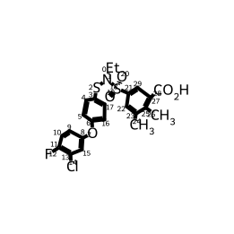 CCN(Sc1ccc(Oc2ccc(F)c(Cl)c2)cc1)S(=O)(=O)c1cc(C)c(C)c(C(=O)O)c1